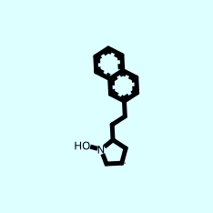 ON1C[CH]CC1CCc1ccc2ccccc2c1